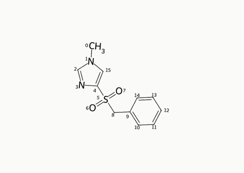 Cn1cnc(S(=O)(=O)Cc2ccccc2)c1